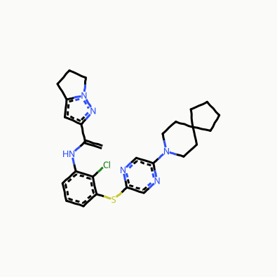 C=C(Nc1cccc(Sc2cnc(N3CCC4(CCCC4)CC3)cn2)c1Cl)c1cc2n(n1)CCC2